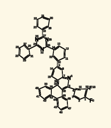 Fc1ccc(-c2nc3cc(-c4cccc(-c5nc(-c6ccccc6)nc(-c6ccccc6)n5)c4)ccc3c3c4ccccc4c4ccccc4c23)cc1F